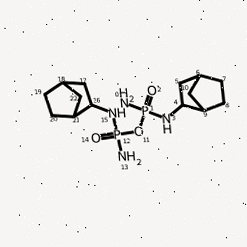 NP(=O)(NC1CC2CCC1C2)OP(N)(=O)NC1CC2CCC1C2